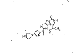 CC(C)[C@H]1CNC(=O)c2cc3cnc(Nc4ccc(N5CCNCC5)cn4)nc3n21